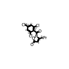 CC(C)c1cc(=O)on1C(=O)c1c(Cl)cc(Cl)cc1Cl